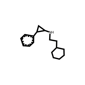 c1ccc(C2CC2NCCC2CCCCC2)cc1